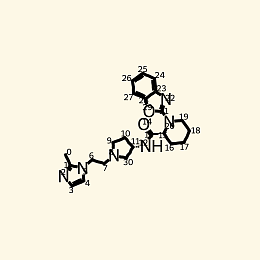 Cc1nccn1CCN1CC[C@H](NC(=O)[C@@H]2CCCCN2c2nc3ccccc3o2)C1